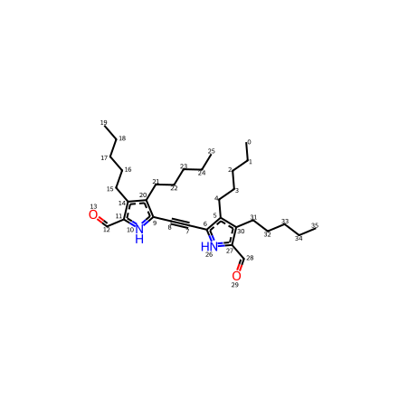 CCCCCc1c(C#Cc2[nH]c(C=O)c(CCCCC)c2CCCCC)[nH]c(C=O)c1CCCCC